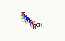 Cc1cncc(S(=O)(=O)N2CCC(n3ncc(NC[C@H]4CCCOC4)c(Cl)c3=O)CC2)c1